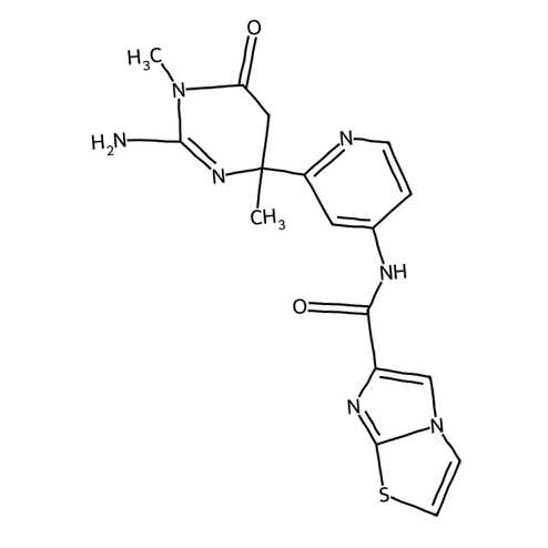 CN1C(=O)CC(C)(c2cc(NC(=O)c3cn4ccsc4n3)ccn2)N=C1N